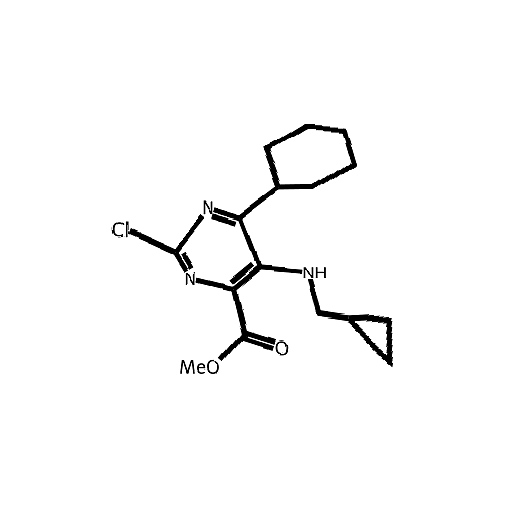 COC(=O)c1nc(Cl)nc(C2CCCCC2)c1NCC1CC1